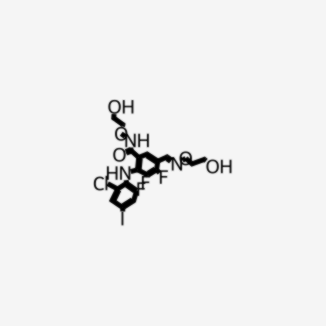 O=C(NOCCO)c1cc(/C=N/OCCO)c(F)c(F)c1Nc1c(F)cc(I)cc1Cl